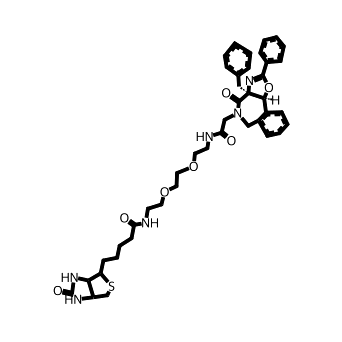 O=C(CCCCC1SCC2NC(=O)NC21)NCCOCCOCCNC(=O)CN1Cc2ccccc2[C@@H]2OC(c3ccccc3)=N[C@]2(Cc2ccccc2)C1=O